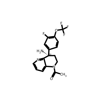 CC(=O)N1CC[C@](N)(c2ccc(OC(F)(F)F)c(F)c2)c2ncccc21